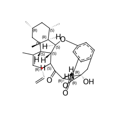 C=C[C@@H]1C=C(C)[C@H]2[C@@H]3[C@H](Oc4ccc(cc4)C[C@]4(O)NC(=O)[C@]5(O[C@H]54)C(=O)[C@@H]13)[C@@H]1[C@@H](C)C[C@@H](C)C[C@]12C